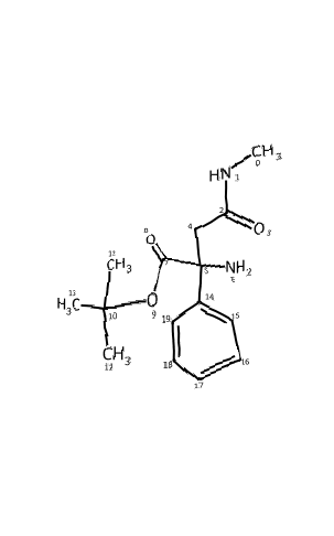 CNC(=O)CC(N)(C(=O)OC(C)(C)C)c1ccccc1